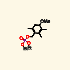 CCOP(=O)(OCC)OCc1c(C)cc(OC)c(C)c1C